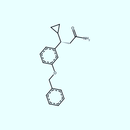 NC(=O)C[C@H](c1cccc(OCc2ccccc2)c1)C1CC1